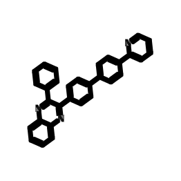 c1ccc(-c2nc3ccccc3nc2-c2ccc(-c3ccc(-c4ccccn4)cc3)cc2)cc1